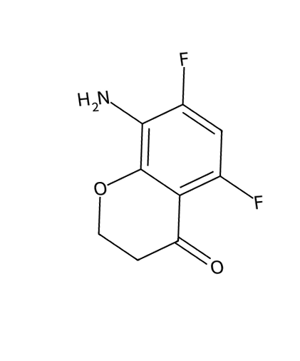 Nc1c(F)cc(F)c2c1OCCC2=O